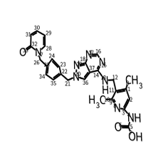 Cc1cc(NC(=O)O)nc(C)c1CNc1ncnc2nn(Cc3ccc(Cn4ccccc4=O)cc3)cc12